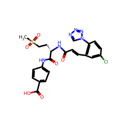 CS(=O)(=O)CC[C@H](NC(=O)C=Cc1cc(Cl)ccc1-n1cnnn1)C(=O)Nc1ccc(C(=O)O)cc1